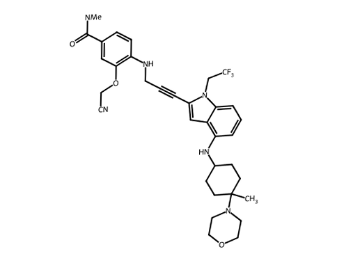 CNC(=O)c1ccc(NCC#Cc2cc3c(NC4CCC(C)(N5CCOCC5)CC4)cccc3n2CC(F)(F)F)c(OCC#N)c1